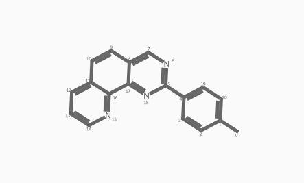 Cc1ccc(-c2ncc3ccc4cccnc4c3n2)cc1